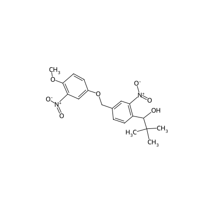 COc1ccc(OCc2ccc(C(O)C(C)(C)C)c([N+](=O)[O-])c2)cc1[N+](=O)[O-]